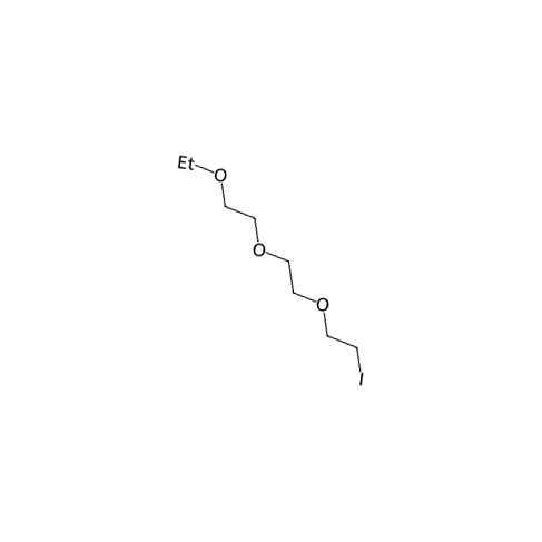 CCOCCOCCOCCI